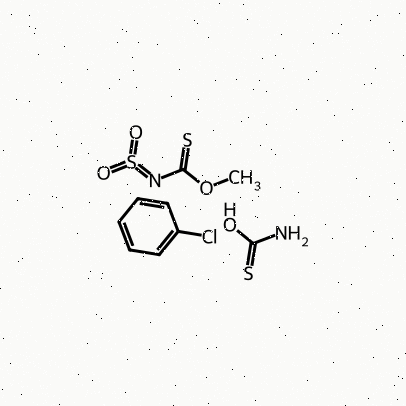 COC(=S)N=S(=O)=O.Clc1ccccc1.NC(O)=S